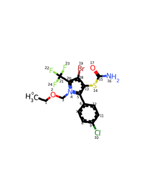 CCOCn1c(-c2ccc(Cl)cc2)c(SC(N)=O)c(Br)c1C(F)(F)F